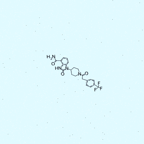 NC(=O)c1cccc2c1[nH]c(=O)n2C1CCN(C(=O)Cc2ccc(C(F)(F)F)cc2)CC1